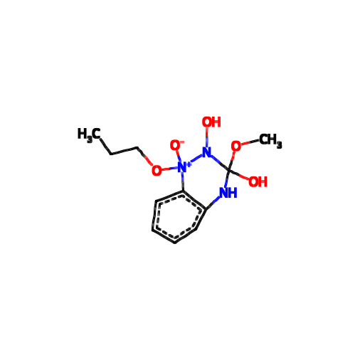 CCCO[N+]1([O-])c2ccccc2NC(O)(OC)N1O